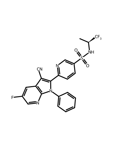 C[C@H](NS(=O)(=O)c1ccc(-c2c(C#N)c3cc(F)cnc3n2-c2ccccc2)nc1)C(F)(F)F